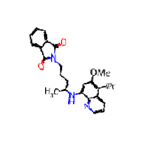 COc1cc(NC(C)CCCN2C(=O)c3ccccc3C2=O)c2ncccc2c1C(C)C